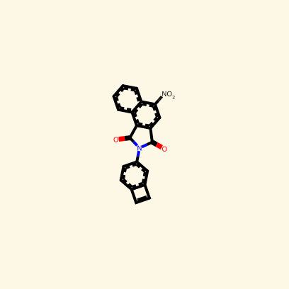 O=C1c2cc([N+](=O)[O-])c3ccccc3c2C(=O)N1c1ccc2c(c1)C=C2